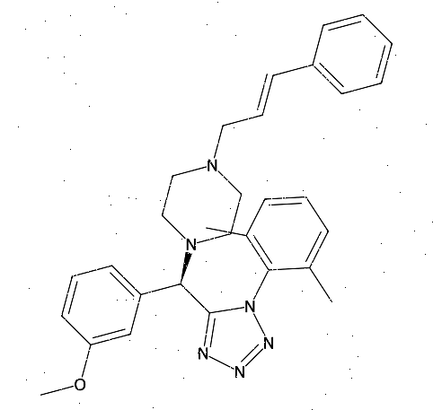 COc1cccc([C@H](c2nnnn2-c2c(C)cccc2C)N2CCN(C/C=C/c3ccccc3)CC2)c1